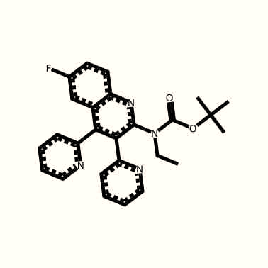 CCN(C(=O)OC(C)(C)C)c1nc2ccc(F)cc2c(-c2ccccn2)c1-c1ccccn1